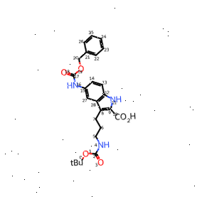 CC(C)(C)OC(=O)NCCCc1c(C(=O)O)[nH]c2ccc(NC(=O)OCc3ccccc3)cc12